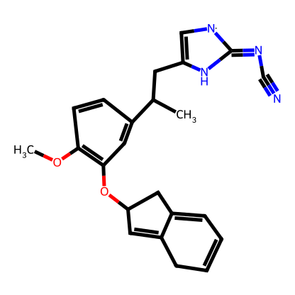 COc1ccc(C(C)CC2=C[N]C(=NC#N)N2)cc1OC1C=C2CC=CC=C2C1